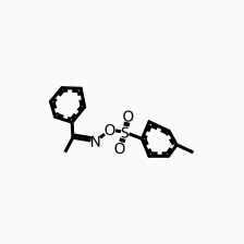 C/C(=N/OS(=O)(=O)c1ccc(C)cc1)c1ccccc1